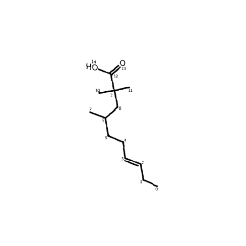 CCC=CCCC(C)CC(C)(C)C(=O)O